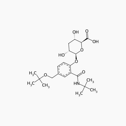 CC(C)(C)NC(=O)c1cc(COC(C)(C)C)ccc1O[C@@H]1O[C@H](C(=O)O)[C@@H](O)C[C@H]1O